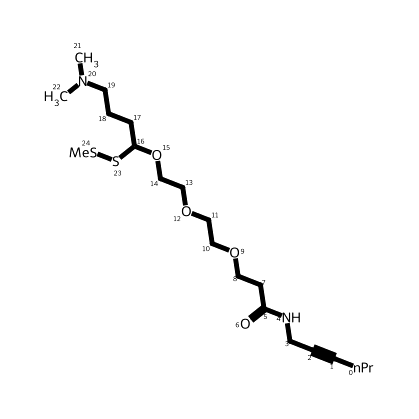 CCCC#CCNC(=O)CCOCCOCCOC(CCCN(C)C)SSC